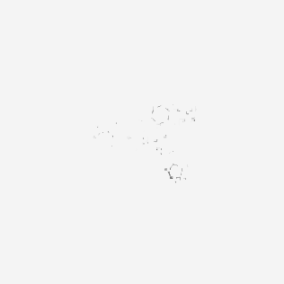 O=C(O)N1CCC2(CC1)CN(C(=O)NCc1c[nH]nn1)C2Cc1ccc(OC(F)(F)F)cc1